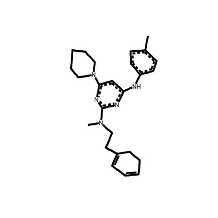 Cc1ccc(Nc2cc(N3CCCCC3)nc(N(C)CCC3=CC=CCC3)n2)cc1